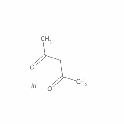 CC(=O)CC(C)=O.[In]